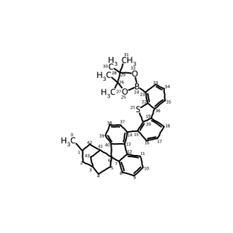 CC1CC2CCC3(c4ccccc4-c4c(-c5cccc6c5sc5c(B7OC(C)(C)C(C)(C)O7)cccc56)cccc43)C(C1)C2